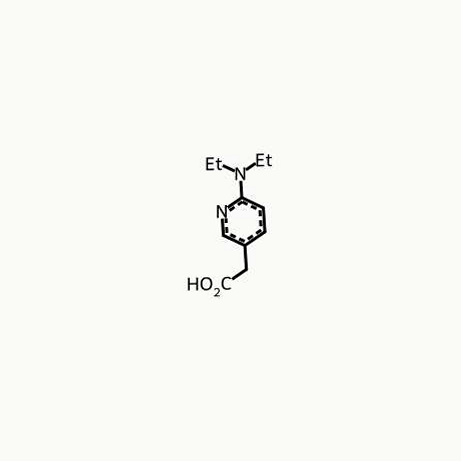 CCN(CC)c1ccc(CC(=O)O)cn1